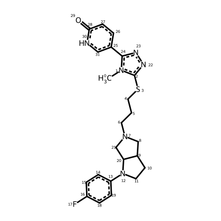 Cn1c(SCCCN2CC3CCN(c4ccc(F)cc4)C3C2)nnc1-c1ccc(=O)[nH]c1